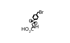 O=C(O)NCS(=O)(=O)c1ccc(CBr)cc1